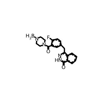 BN1CCN(C(=O)c2cc(Cc3n[nH]c(=O)c4ccccc34)ccc2F)CC1